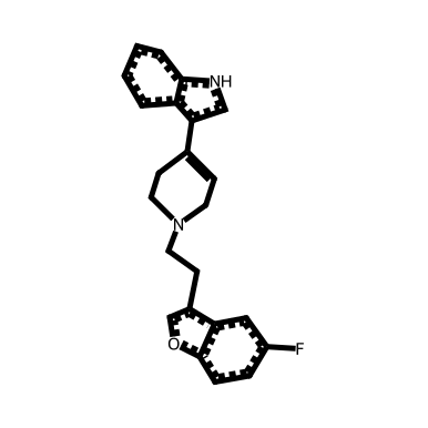 Fc1ccc2occ(CCN3CC=C(c4c[nH]c5ccccc45)CC3)c2c1